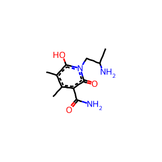 Cc1c(C)c(O)n(CC(C)N)c(=O)c1C(N)=O